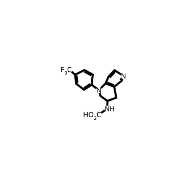 O=C(O)NC1Cc2cnccc2N(c2ccc(C(F)(F)F)cc2)C1